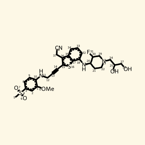 COc1cc(S(C)(=O)=O)ccc1NCC#Cc1sc2c(NC3CCN(CC(O)CO)CC3F)cccc2c1CC#N